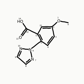 COc1ccc(-n2nccn2)c(C(=O)O)c1